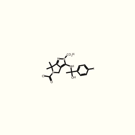 CC(O)(Nc1c2c(nn1C(=O)O)C(C)(C)N(C(=O)Cl)C2)c1ccc(I)cc1